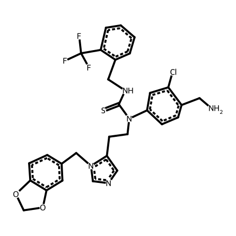 NCc1ccc(N(CCc2cncn2Cc2ccc3c(c2)OCO3)C(=S)NCc2ccccc2C(F)(F)F)cc1Cl